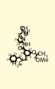 COC[C@H](C)Oc1cc(C[C@@H](C)Cc2ccccc2)cc(C(=O)Nc2ccn(C[PH](C)=O)n2)c1